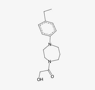 CCc1ccc(N2CCCN(C(=O)CO)CC2)cc1